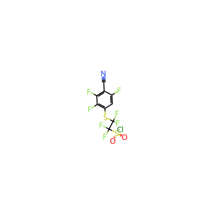 N#Cc1c(F)cc(SC(F)(F)C(F)(F)S(=O)(=O)Cl)c(F)c1F